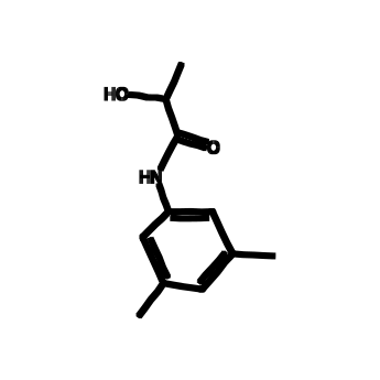 Cc1cc(C)cc(NC(=O)C(C)O)c1